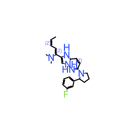 C/C=C\C=C(\C1=CNC(/C=C\C(=N)N2CCCC2c2cccc(F)c2)N1)N(C)C